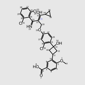 COc1ccc(C(=O)O)cc1C1CC(O)(c2ccc(OC/C(C(=N)c3c(Cl)cccc3Cl)=C(/O)C3CC3)cc2Cl)C1